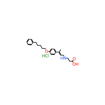 C/C(=C\CNCCC(=O)O)c1ccc(OCCCCCc2ccccc2)cc1.Cl